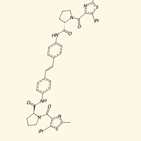 Cc1nc(C(=O)N2CCC[C@H]2C(=O)Nc2ccc(/C=C/c3ccc(NC(=O)[C@@H]4CCCN4C(=O)c4nc(Cl)sc4C(C)C)cc3)cc2)c(C(C)C)s1